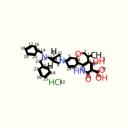 CC1COc2cc(N3C[C@@H]4[C@H](C3)[C@H]4N(Cc3ccccc3)Cc3ccccc3)ccc2-c2[nH]c(=O)c(C(=O)O)c(O)c21.Cl